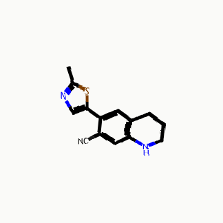 Cc1ncc(-c2cc3c(cc2C#N)NCCC3)s1